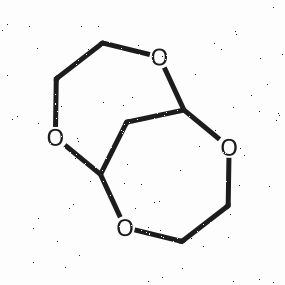 C1COC2CC(O1)OCCO2